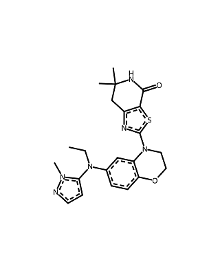 CCN(c1ccc2c(c1)N(c1nc3c(s1)C(=O)NC(C)(C)C3)CCO2)c1ccnn1C